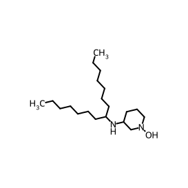 CCCCCCCC(CCCCCCC)NC1CCCN(O)C1